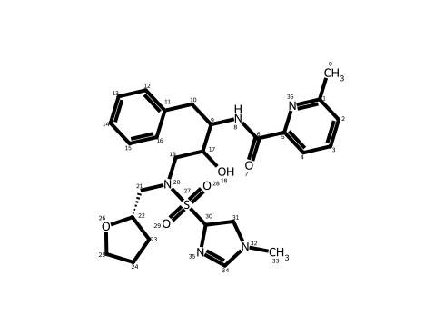 Cc1cccc(C(=O)NC(Cc2ccccc2)C(O)CN(C[C@@H]2CCCO2)S(=O)(=O)C2CN(C)C=N2)n1